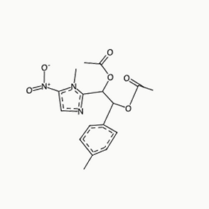 CC(=O)OC(c1ccc(C)cc1)C(OC(C)=O)c1ncc([N+](=O)[O-])n1C